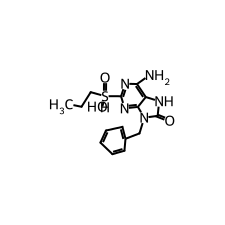 CCC[SH](=O)(O)c1nc(N)c2[nH]c(=O)n(Cc3ccccc3)c2n1